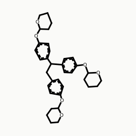 c1cc(OC2CCCCO2)ccc1CC(c1ccc(OC2CCCCO2)cc1)c1ccc(OC2CCCCO2)cc1